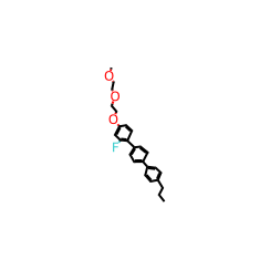 CCCc1ccc(-c2ccc(-c3ccc(OCCOCCOC)cc3F)cc2)cc1